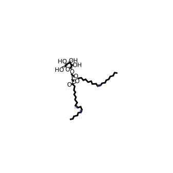 CCCCC/C=C\C/C=C\CCCCCCCC(=O)OC[C@@H](CO[C@H]1O[C@H](CO)[C@H](O)[C@H](O)[C@H]1O)OC(=O)CCCCCCC/C=C\CCCCCCCC